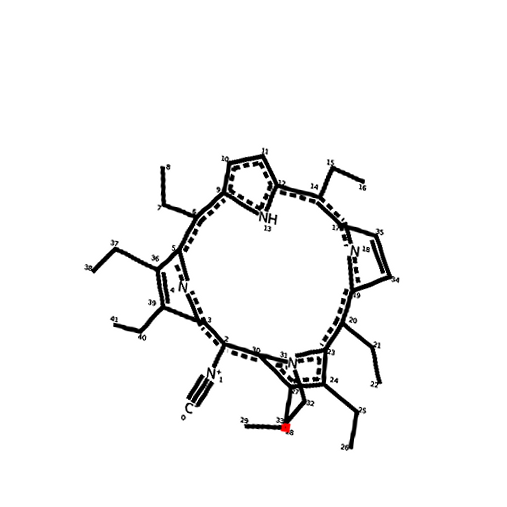 [C-]#[N+]c1c2nc(c(CC)c3ccc([nH]3)c(CC)c3nc(c(CC)c4c(CC)c(CC)c1n4CC)C=C3)C(CC)=C2CC